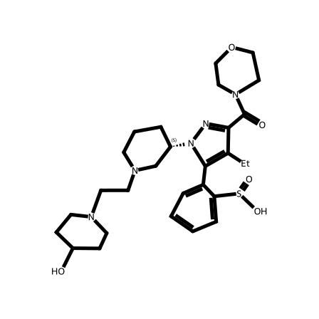 CCc1c(C(=O)N2CCOCC2)nn([C@H]2CCCN(CCN3CCC(O)CC3)C2)c1-c1ccccc1S(=O)O